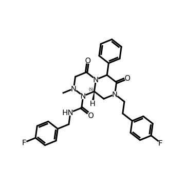 CN1CC(=O)N2C(c3ccccc3)C(=O)N(CCc3ccc(F)cc3)C[C@@H]2N1C(=O)NCc1ccc(F)cc1